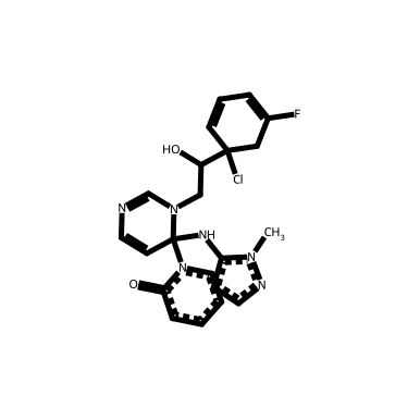 Cn1nccc1NC1(n2ccccc2=O)C=CN=CN1CC(O)C1(Cl)C=CC=C(F)C1